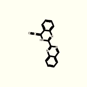 O=C=C1NC(c2ncc3ccccc3n2)=Nc2ccccc21